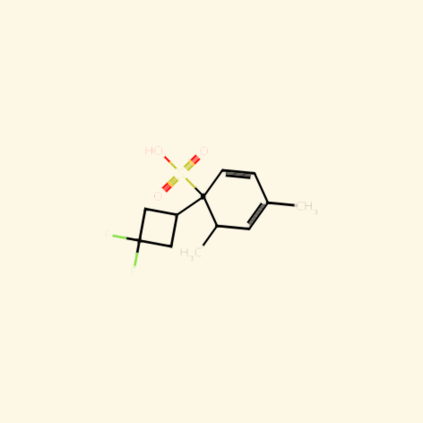 CC1=CC(C)C(C2CC(F)(F)C2)(S(=O)(=O)O)C=C1